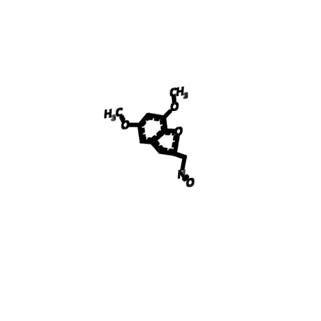 COc1cc(OC)c2oc(CN=O)cc2c1